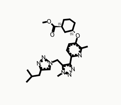 COC(=O)[C@H]1CCC[C@H](Oc2ccc(-c3nnn(C)c3Cn3cc(CC(C)C)nn3)nc2C)C1